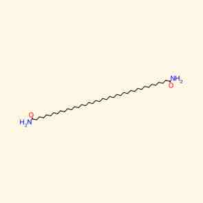 NC(=O)CCCCCCCCCCCCCCCCCCCCCCCCCCCCCCCCCCCCCCC(N)=O